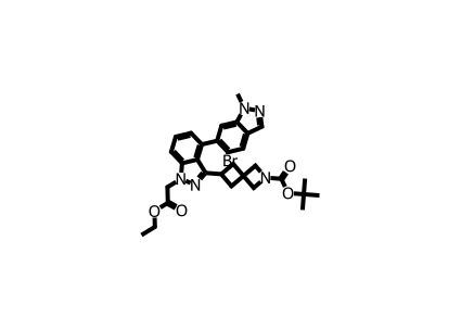 CCOC(=O)Cn1nc(C2CC3(C2)CN(C(=O)OC(C)(C)C)C3)c2c(-c3cc4c(cnn4C)cc3Br)cccc21